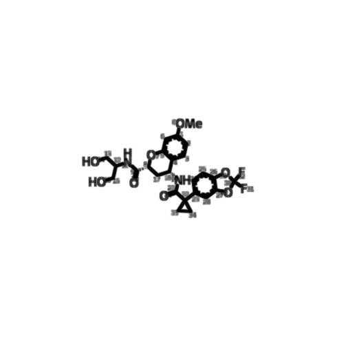 COc1ccc2c(c1)O[C@@H](C(=O)NC(CO)CO)C[C@H]2NC(=O)C1(c2ccc3c(c2)OC(F)(F)O3)CC1